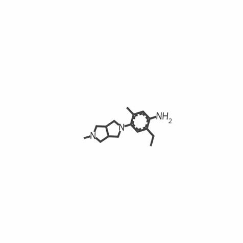 CCc1cc(N2CC3CN(C)CC3C2)c(C)cc1N